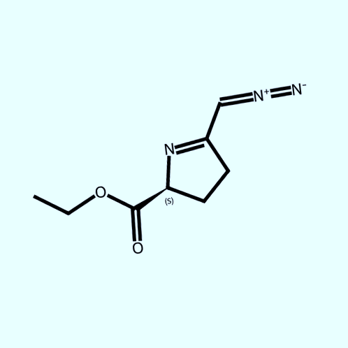 CCOC(=O)[C@@H]1CCC(C=[N+]=[N-])=N1